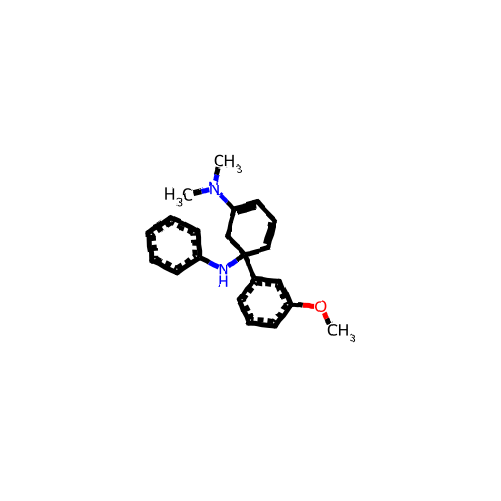 COc1cccc(C2(Nc3ccccc3)C=CC=C(N(C)C)C2)c1